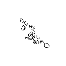 CCCC[C@H](NC(=O)O[C@@H]1CN(C(=O)O[C@@H]2CCOC2)CC1(C)C)C(=O)C(=O)N[C@H](C)c1ccccc1